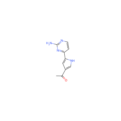 CC(=O)c1c[nH]c(-c2ccnc(N)n2)c1